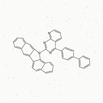 c1ccc(-c2ccc(-c3nc(-n4c5cc6ccccc6cc5c5ccc6ccccc6c54)nc4ncccc34)cc2)cc1